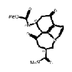 COC(=O)N[C@H]1CC(=O)c2ccn3c2C1C(=O)C[C@H](C(=O)OC)C3